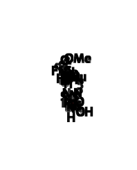 C#Cc1c(F)ccc2cc(OCOC)cc(-c3ncc4c(N5C[C@H]6CC[C@@H](C5)N6C(=O)OC(C)(C)C)nc(OCCN5CCC(CC6CCN(c7cc([C@H](C(=O)N8C[C@H](O)C[C@H]8C(=O)N[C@@H](C)c8ccc(-c9scnc9C)cc8)C(C)C)on7)CC6)CC5)nc4c3F)c12